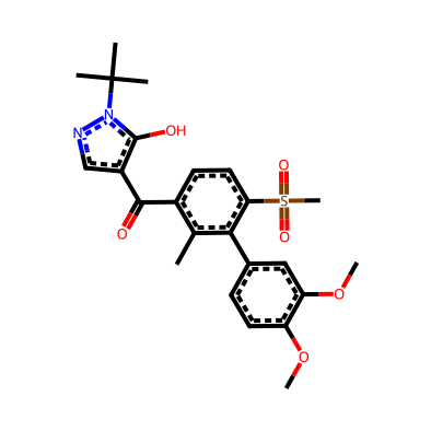 COc1ccc(-c2c(S(C)(=O)=O)ccc(C(=O)c3cnn(C(C)(C)C)c3O)c2C)cc1OC